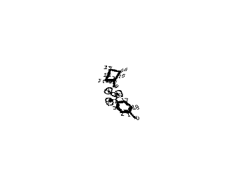 Cc1ccc(S(=O)(=O)OCC2=CC3CCC2O3)cc1